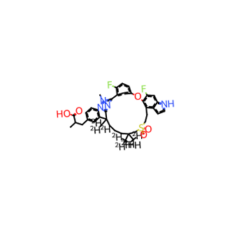 [2H]C([2H])([2H])C1(c2cccc(CC(C)C(=O)O)c2)CCCC(C([2H])([2H])[2H])(C([2H])([2H])[2H])CS(=O)(=O)CCc2c(c(F)cc3[nH]ccc23)Oc2ccc(F)c(c2)-c2nc1nn2C